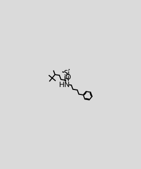 CC(CCC(NCCCCc1ccccc1)O[SiH](C)C)C(C)(C)C